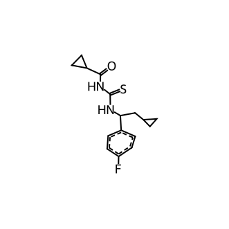 O=C(NC(=S)NC(CC1CC1)c1ccc(F)cc1)C1CC1